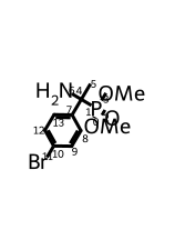 COP(=O)(OC)C(C)(N)c1ccc(Br)cc1